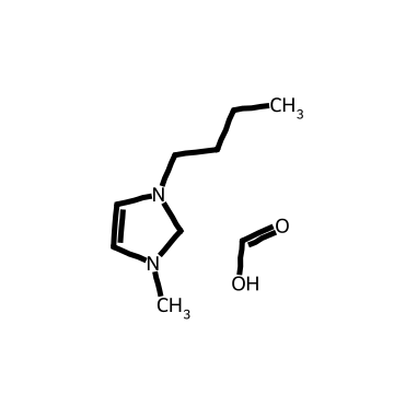 CCCCN1C=CN(C)C1.O=CO